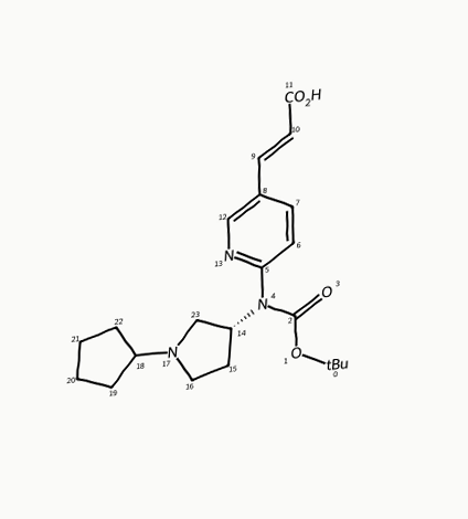 CC(C)(C)OC(=O)N(c1ccc(C=CC(=O)O)cn1)[C@@H]1CCN(C2CCCC2)C1